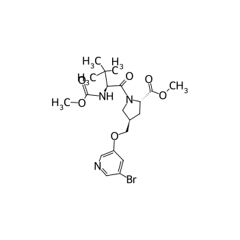 COC(=O)N[C@H](C(=O)N1C[C@H](COc2cncc(Br)c2)C[C@H]1C(=O)OC)C(C)(C)C